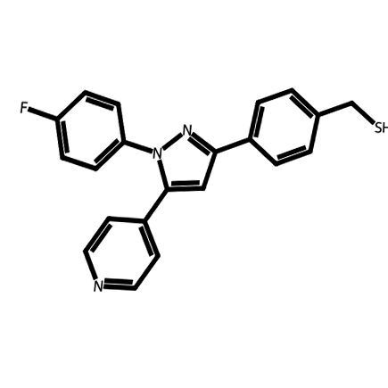 Fc1ccc(-n2nc(-c3ccc(CS)cc3)cc2-c2ccncc2)cc1